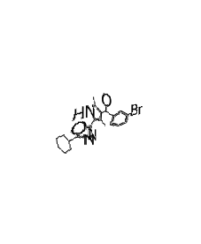 Cc1[nH]c(-c2nnc(C3CCCCC3)o2)c(C)c1C(=O)c1cccc(Br)c1